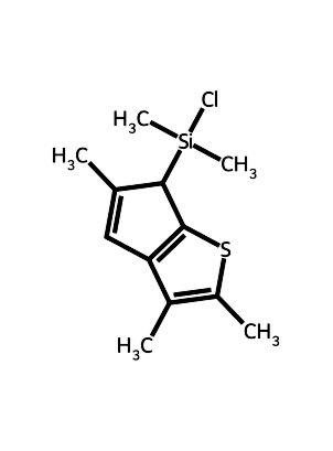 CC1=Cc2c(sc(C)c2C)C1[Si](C)(C)Cl